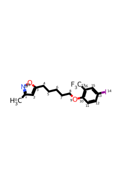 Cc1cc(CCCCCOc2ccc(I)cc2C(F)(F)F)on1